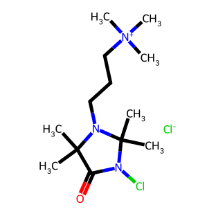 CC1(C)C(=O)N(Cl)C(C)(C)N1CCC[N+](C)(C)C.[Cl-]